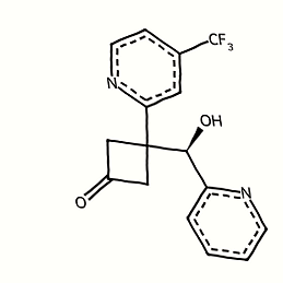 O=C1CC(c2cc(C(F)(F)F)ccn2)([C@@H](O)c2ccccn2)C1